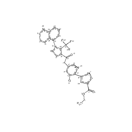 CCOC(=O)c1cnn(-c2ncc(CC(=O)c3cnn(-c4cccc5ncccc45)c3C(F)(F)F)cc2Cl)c1